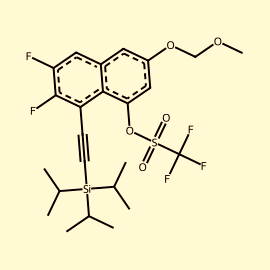 COCOc1cc(OS(=O)(=O)C(F)(F)F)c2c(C#C[Si](C(C)C)(C(C)C)C(C)C)c(F)c(F)cc2c1